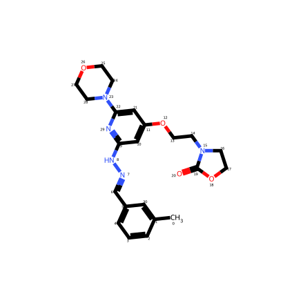 Cc1cccc(C=NNc2cc(OCCN3CCOC3=O)cc(N3CCOCC3)n2)c1